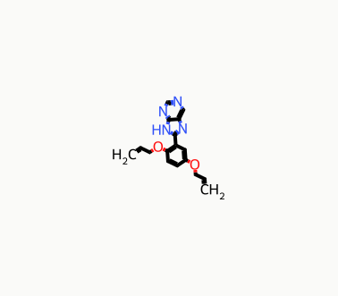 C=CCOc1ccc(OCC=C)c(-c2nc3cncnc3[nH]2)c1